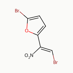 O=[N+]([O-])/C(=C\Br)c1ccc(Br)o1